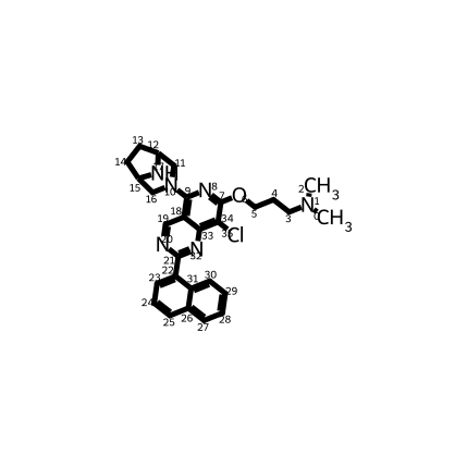 CN(C)CCCOc1nc(N2CC3CCC(C2)N3)c2cnc(-c3cccc4ccccc34)nc2c1Cl